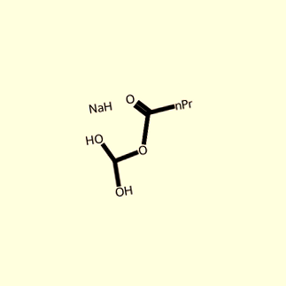 CCCC(=O)OC(O)O.[NaH]